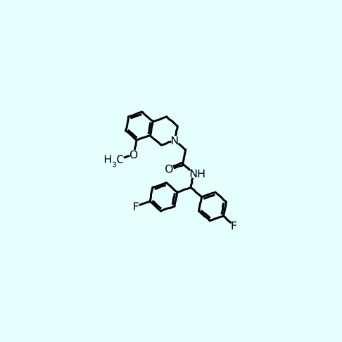 COc1cccc2c1CN(CC(=O)NC(c1ccc(F)cc1)c1ccc(F)cc1)CC2